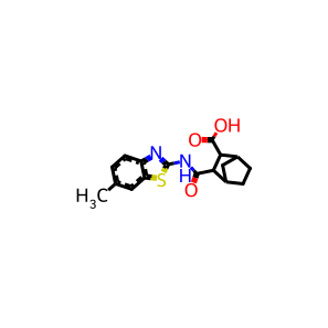 Cc1ccc2nc(NC(=O)C3C4CCC(C4)C3C(=O)O)sc2c1